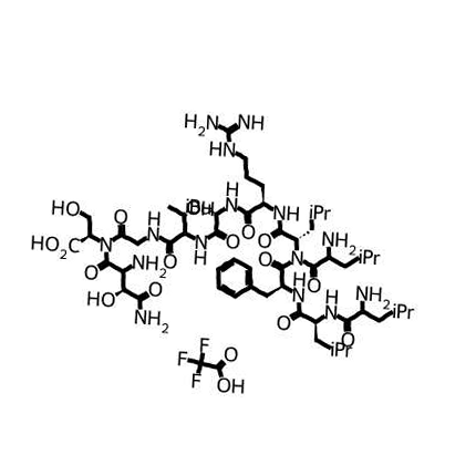 CCC(C)[C@H](NC(=O)[C@@H](CCCNC(=N)N)NC(=O)[C@H](CC(C)C)N(C(=O)C(N)CC(C)C)C(=O)[C@H](Cc1ccccc1)NC(=O)[C@H](CC(C)C)NC(=O)C(N)CC(C)C)C(=O)NC(C(=O)NCC(=O)N(C(=O)C(N)[C@H](O)C(N)=O)[C@H](CO)C(=O)O)C(C)O.O=C(O)C(F)(F)F